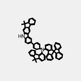 CC1(C)c2ccccc2-c2cc3c(cc21)[nH]c1ccc(C2=CCC(N(c4cccc5c4-c4ccccc4C5(C)C)c4cccc5c4-c4ccccc4C54c5ccccc5-c5ccccc54)C=C2)cc13